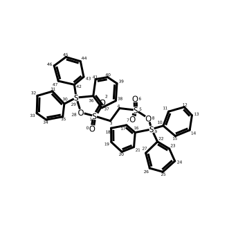 O=S(=O)(CCS(=O)(=O)OS(c1ccccc1)(c1ccccc1)c1ccccc1)OS(c1ccccc1)(c1ccccc1)c1ccccc1